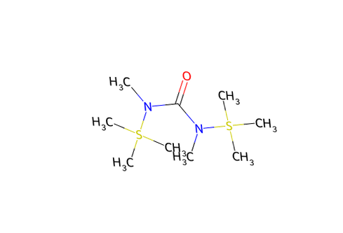 CN(C(=O)N(C)S(C)(C)C)S(C)(C)C